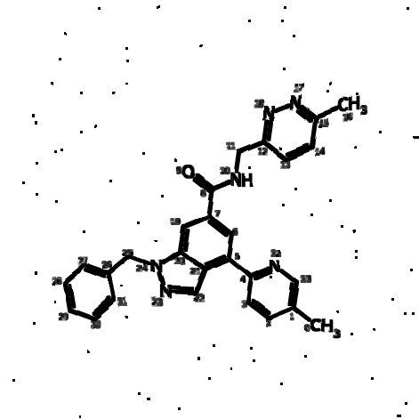 Cc1ccc(-c2cc(C(=O)NCc3ccc(C)nn3)cc3c2cnn3Cc2ccccc2)nc1